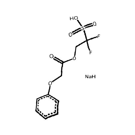 O=C(COc1ccccc1)OCC(F)(F)S(=O)(=O)O.[NaH]